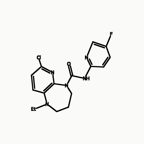 CCN1CCCN(C(=O)Nc2ccc(F)cn2)c2nc(Cl)ccc21